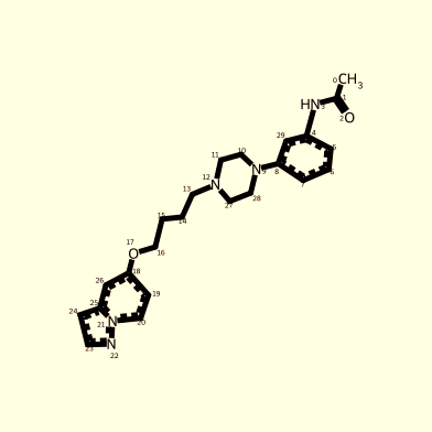 CC(=O)Nc1cccc(N2CCN(CCCCOc3ccn4nccc4c3)CC2)c1